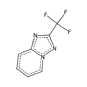 FC(F)(F)c1nc2ccccn2n1